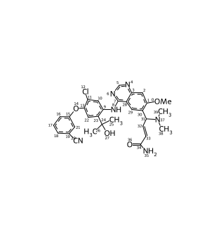 COc1cc2ncnc(Nc3cc(Cl)c(Oc4cccc(C#N)c4)cc3C(C)(C)O)c2cc1C(C=CC(N)=O)N(C)C